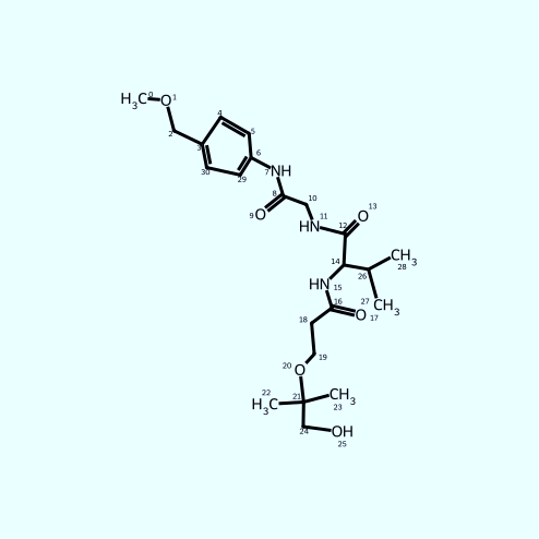 COCc1ccc(NC(=O)CNC(=O)C(NC(=O)CCOC(C)(C)CO)C(C)C)cc1